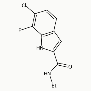 CCNC(=O)c1cc2ccc(Cl)c(F)c2[nH]1